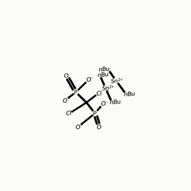 CCC[CH2][Sn+2][CH2]CCC.CCC[CH2][Sn+2][CH2]CCC.O=P([O-])([O-])C(Cl)(Cl)P(=O)([O-])[O-]